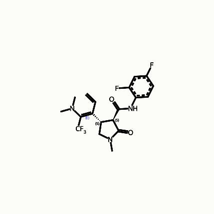 C=C/C(=C(\N(C)C)C(F)(F)F)[C@H]1CN(C)C(=O)[C@@H]1C(=O)Nc1ccc(F)cc1F